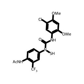 COc1cc(OC)c(NC(=O)N(S)c2ccc(NC(C)=O)c(C(F)(F)F)c2)cc1Cl